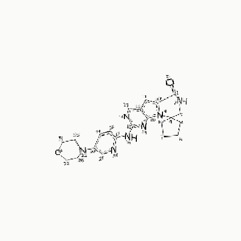 O=C1NCC2(CCCC2)n2c1cc1cnc(Nc3ccc(N4CCOCC4)cn3)nc12